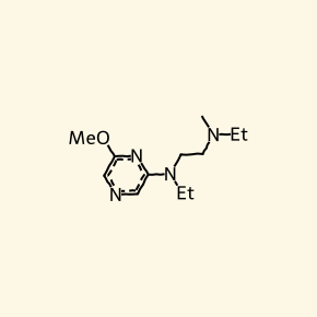 CCN(C)CCN(CC)c1cncc(OC)n1